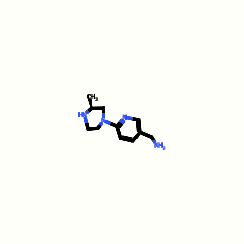 C[C@H]1CN(c2ccc(CN)cn2)CCN1